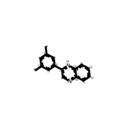 Cc1cc(C)cc(-c2cnc3ccccc3n2)c1